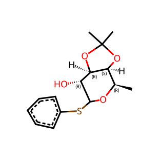 C[C@H]1OC(Sc2ccccc2)[C@H](O)[C@H]2OC(C)(C)O[C@H]21